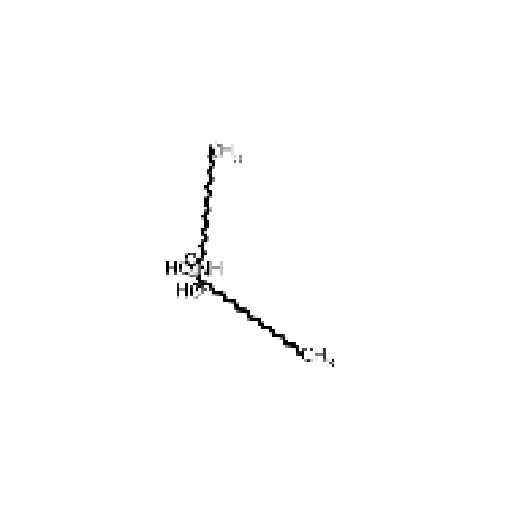 CCCCCCCCCCCCCCCCC[C@@H](O)[C@H](CO)NC(=O)CCCCCCCCCCCCCCC